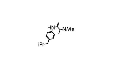 C=C(Nc1ccc(CC(C)C)cc1)C(C)NC